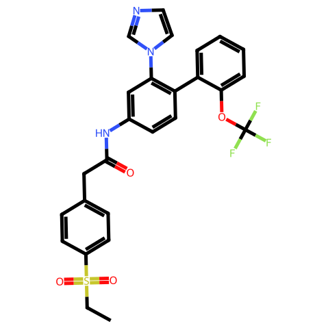 CCS(=O)(=O)c1ccc(CC(=O)Nc2ccc(-c3ccccc3OC(F)(F)F)c(-n3ccnc3)c2)cc1